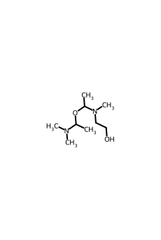 CC(OC(C)N(C)CCO)N(C)C